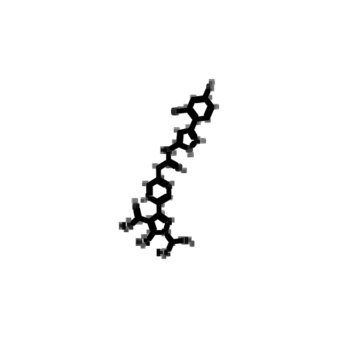 CC(C)n1nc(-c2cnc(CC(=O)Nc3cc(-c4ccc(Cl)cc4Cl)no3)cn2)c(C(N)=O)c1N